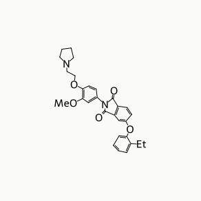 CCc1ccccc1Oc1ccc2c(c1)C(=O)N(c1ccc(OCCN3CCCC3)c(OC)c1)C2=O